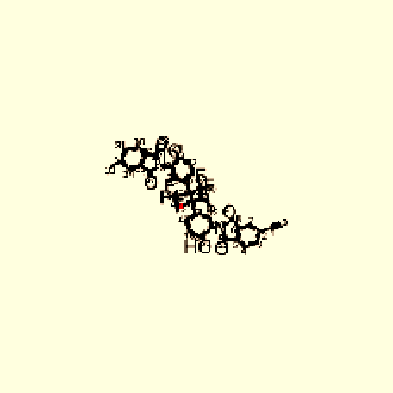 C#Cc1ccc2c(c1)C(=O)N(c1cc(C(CC)(CC)C(c3ccc(O)c(N4C(=O)c5ccc(C)cc5C4=O)c3)(C(F)(F)F)C(F)(F)F)ccc1O)C2=O